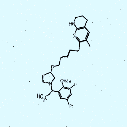 COc1c(F)cc(C(C)C)cc1[C@@H](C(=O)O)N1CC[C@@H](OCCCCCc2nc3c(cc2C)CCCN3)C1